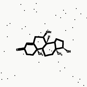 CC(=O)O[C@@H]1CC2=CC(=O)CC[C@]2(C)C2CC[C@@]3(C)C(CC[C@@H]3O)[C@@H]21